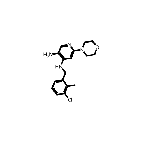 Cc1c(Cl)cccc1CNc1cc(N2CCOCC2)ncc1N